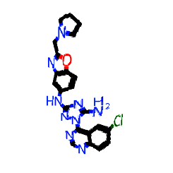 Nc1nc(Nc2ccc3oc(CN4CCCC4)nc3c2)nn1-c1ncnc2ccc(Cl)cc12